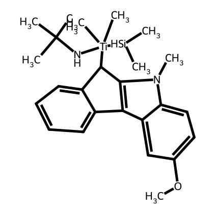 COc1ccc2c(c1)c1c(n2C)[CH]([Ti]([CH3])([CH3])([NH]C(C)(C)C)[SiH](C)C)c2ccccc2-1